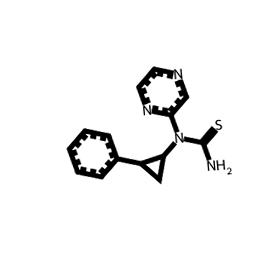 NC(=S)N(c1cnccn1)C1CC1c1ccccc1